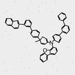 CC1(c2ccc(-c3cccc(-c4ccc5ccccc5c4)c3)cc2)C=CC(N(c2ccc(-c3cccc(-c4ccccc4)c3)cc2)c2cccc3c2oc2ccccc23)=CC1